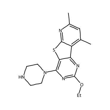 CCOc1nc(N2CCNCC2)c2sc3nc(C)cc(C)c3c2n1